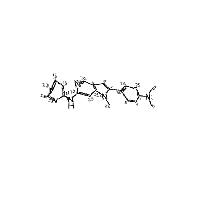 CN(C)c1ccc(-c2cc3cnc(Nc4ccccn4)cc3n2C)cc1